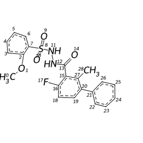 COc1ccccc1S(=O)(=O)NNC(=O)c1c(F)ccc(-c2ccccc2)c1C